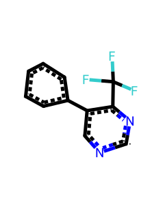 FC(F)(F)c1n[c]ncc1-c1ccccc1